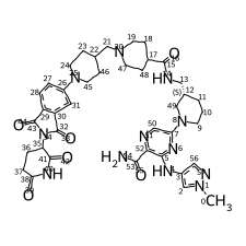 Cn1cc(Nc2nc(N3CCC[C@@H](CNC(=O)C4CCN(CC5CCN(c6ccc7c(c6)C(=O)N(C6CCC(=O)NC6=O)C7=O)CC5)CC4)C3)cnc2C(N)=O)cn1